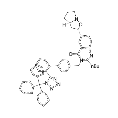 CCCCc1nc2ccc([C@@H]3C[C@H]4CCCN4O3)cc2c(=O)n1Cc1ccc(-c2ccccc2-c2nnnn2C(c2ccccc2)(c2ccccc2)c2ccccc2)cc1